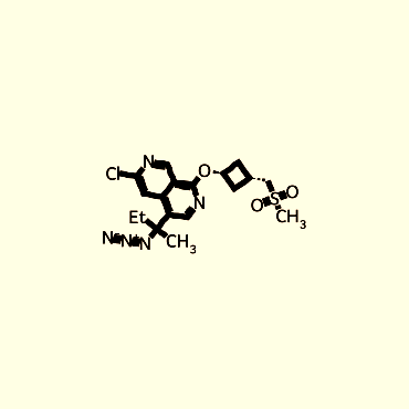 CCC(C)(N=[N+]=[N-])c1cnc(O[C@H]2C[C@@H](CS(C)(=O)=O)C2)c2cnc(Cl)cc12